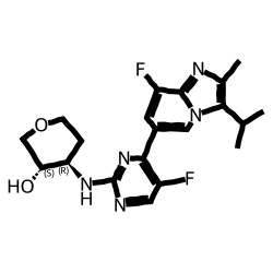 Cc1nc2c(F)cc(-c3nc(N[C@@H]4CCOC[C@H]4O)ncc3F)cn2c1C(C)C